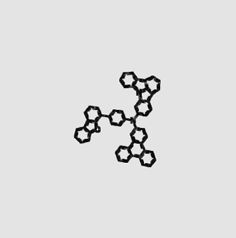 c1ccc2c(c1)oc1c(-c3ccc(N(c4ccc5c6ccccc6c6ccccc6c5c4)c4ccc5c6cccc7c8ccccc8n(c5c4)c76)cc3)cccc12